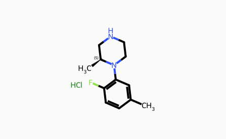 Cc1ccc(F)c(N2CCNC[C@@H]2C)c1.Cl